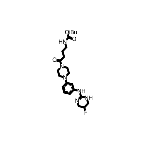 CC(C)COC(=O)NCCCC(=O)N1CCN(c2cccc(NC3=NCC(F)CN3)c2)CC1